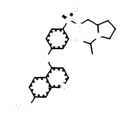 COc1ccc2c(Oc3ccc(S(=N)(=O)NCC4CCCN4C(C)O)cc3)ccnc2c1